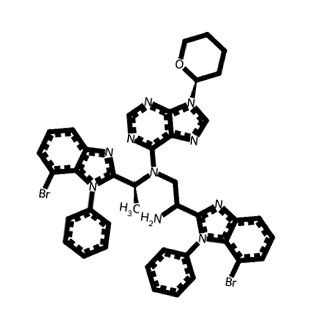 C[C@@H](c1nc2cccc(Br)c2n1-c1ccccc1)N(CC(N)c1nc2cccc(Br)c2n1-c1ccccc1)c1ncnc2c1ncn2[C@@H]1CCCCO1